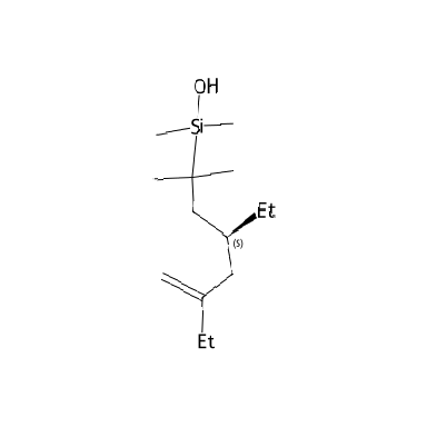 C=C(CC)C[C@H](CC)CC(C)(C)[Si](C)(C)O